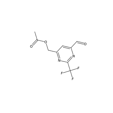 CC(=O)OCc1cc(C=O)nc(C(F)(F)F)n1